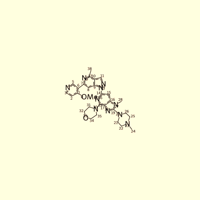 COc1ccncc1-c1cc2c(cnn2-c2cc3c(nc(N4CCN(C)CC4)n3C)c(N3CCOCC3)n2)c(C)n1